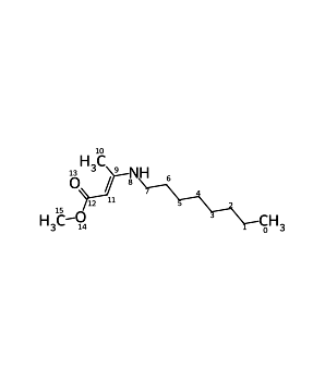 CCCCCCCCNC(C)=CC(=O)OC